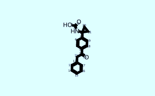 O=C(O)NC1(c2ccc(C(=O)Cc3ccccc3)cc2)CC1